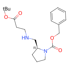 CC(C)(C)OC(=O)CCNC[C@@H]1CCCN1C(=O)OCc1ccccc1